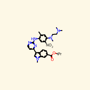 Cc1cc(N(C)CCN(C)C)c([N+](=O)[O-])cc1Nc1nccc(-c2cn(C)c3cc(C(=O)OC(C)C)ccc23)n1